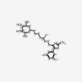 Cc1nc(COC[C@H](F)CCCCN2C[C@H](O)[C@@H](O)[C@H](O)[C@@H](O)C2)c(-c2cc(F)cc(F)c2)o1